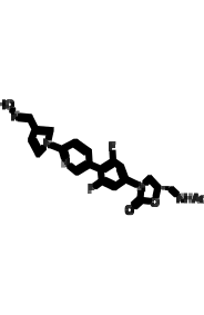 CC(=O)NC[C@H]1CN(c2cc(F)c(-c3ccc(-n4ccc(/C=N/O)c4)nc3)c(F)c2)C(=O)O1